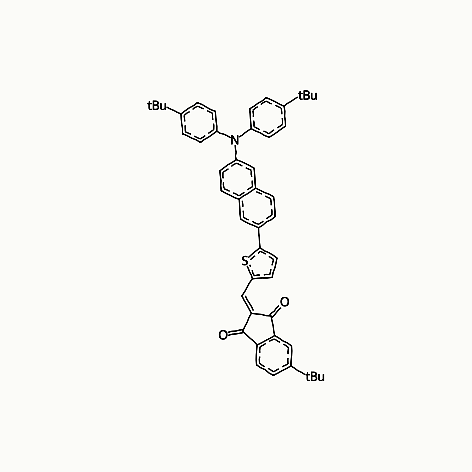 CC(C)(C)c1ccc(N(c2ccc(C(C)(C)C)cc2)c2ccc3cc(-c4ccc(/C=C5/C(=O)c6ccc(C(C)(C)C)cc6C5=O)s4)ccc3c2)cc1